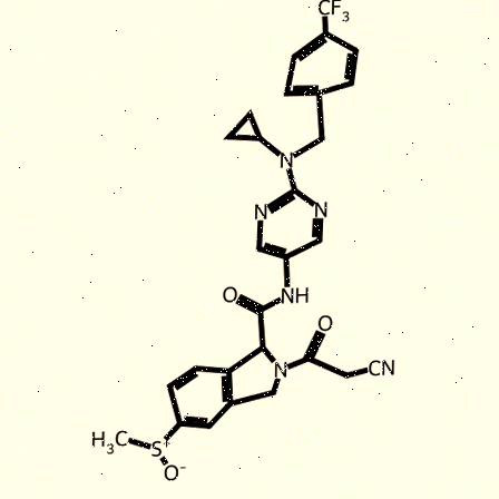 C[S+]([O-])c1ccc2c(c1)CN(C(=O)CC#N)C2C(=O)Nc1cnc(N(Cc2ccc(C(F)(F)F)cc2)C2CC2)nc1